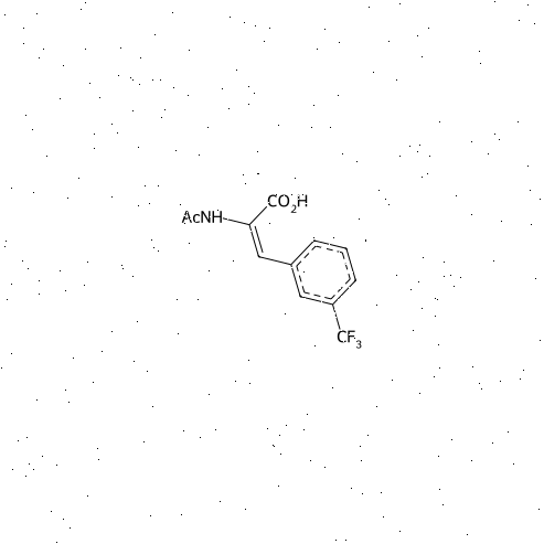 CC(=O)N/C(=C/c1cccc(C(F)(F)F)c1)C(=O)O